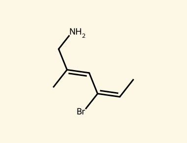 C/C=C(Br)\C=C(/C)CN